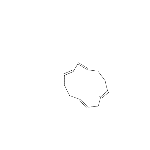 [C]1=C/CC/C=C/C=C/CC/C=C/C/1